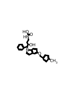 Cc1ccc(COc2ccc3c(ccn3[C@@H](c3ccccc3)[C@H](O)CCNC(=O)O)c2)cc1